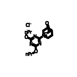 CCCOc1nc(OCCC)nc([N+]23CCC(CC2)C(=O)C3)n1.[Cl-]